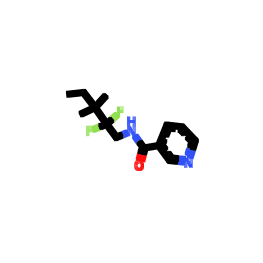 CCC(C)(C)C(F)(F)CNC(=O)c1cccnc1